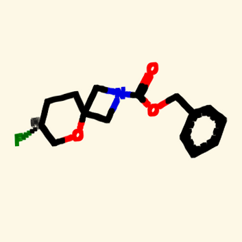 O=C(OCc1ccccc1)N1CC2(CC[C@@H](F)CO2)C1